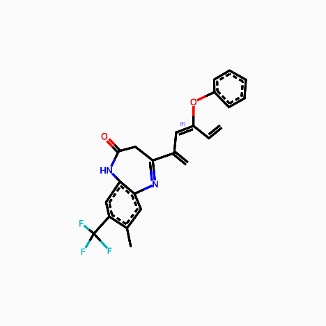 C=C/C(=C\C(=C)C1=Nc2cc(C)c(C(F)(F)F)cc2NC(=O)C1)Oc1ccccc1